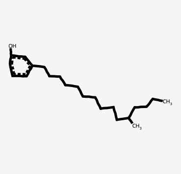 CCCCC(C)CCCCCCCCCCc1cccc(O)c1